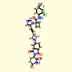 O=C1CCC(N2C(=O)c3ccc(N4CC(C#Cc5cncn5C5(C(=O)Nc6ccc(C(F)(F)F)cc6Cl)CCC5)C4)cc3C2=O)C(=O)N1